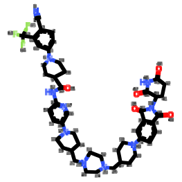 N#Cc1ccc(N2CCC(C(=O)Nc3ccc(N4CCC(CN5CCN(CC6CCN(c7ccc8c(c7)C(=O)N(C7CCC(=O)NC7=O)C8=O)CC6)CC5)CC4)cn3)CC2)cc1C(F)(F)F